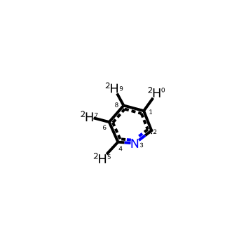 [2H]c1[c]nc([2H])c([2H])c1[2H]